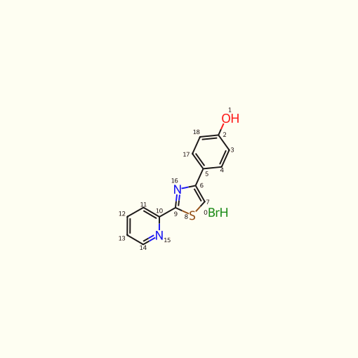 Br.Oc1ccc(-c2csc(-c3ccccn3)n2)cc1